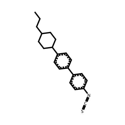 CCCC1CCC(c2ccc(-c3ccc(N=C=S)cc3)cc2)CC1